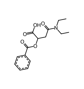 CCN(CC)C(=O)CC(OC(=O)c1ccccc1)C(=O)O